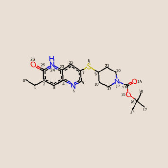 CCc1cc2ncc(SC3CCN(C(=O)OC(C)(C)C)CC3)cc2[nH]c1=O